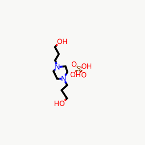 O=S(=O)(O)O.OCCCN1CCN(CCCO)CC1